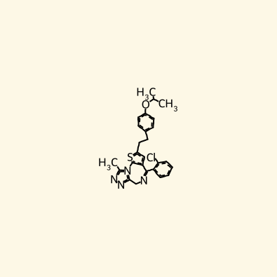 Cc1nnc2n1-c1sc(CCc3ccc(OC(C)C)cc3)cc1C(c1ccccc1Cl)=NC2